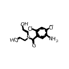 Nc1cc(C(=O)N(CCO)CCO)c(Cl)cc1Cl